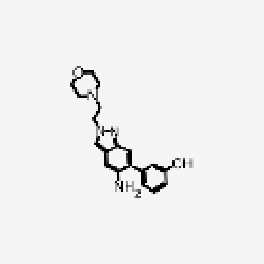 Nc1cc2cn(CCN3CCOCC3)nc2cc1-c1cccc(O)c1